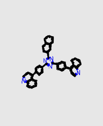 c1ccc2cc(-c3nc(-c4ccc(-c5ccnc6ccccc56)cc4)nc(-c4ccc(-c5ccnc6ccccc56)cc4)n3)ccc2c1